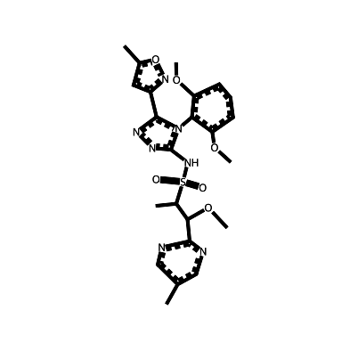 COc1cccc(OC)c1-n1c(NS(=O)(=O)C(C)C(OC)c2ncc(C)cn2)nnc1-c1cc(C)on1